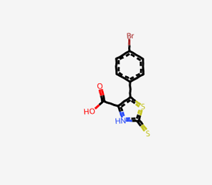 O=C(O)c1[nH]c(=S)sc1-c1ccc(Br)cc1